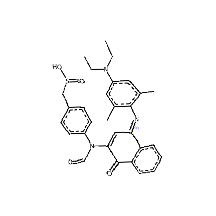 CCN(CC)c1cc(C)c(/N=C2\C=C(N(C=O)c3ccc(CS(=O)O)cc3)C(=O)c3ccccc32)c(C)c1